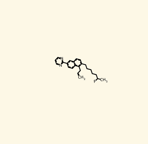 C=CCc1c(CCCCCC(C)F)ccc2cc(-c3ncccn3)ccc12